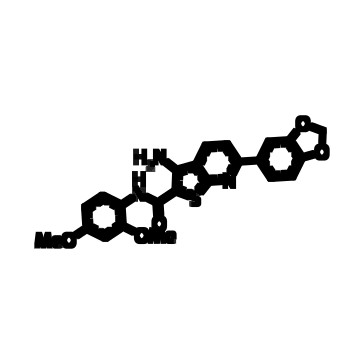 COc1ccc(NC(=O)c2sc3nc(-c4ccc5c(c4)OCO5)ccc3c2N)c(OC)c1